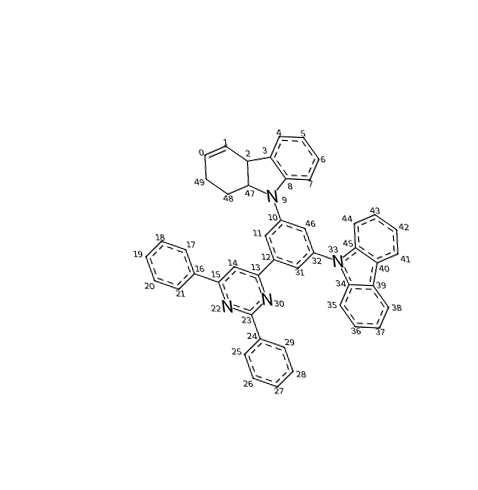 C1=CC2c3ccccc3N(c3cc(-c4cc(-c5ccccc5)nc(-c5ccccc5)n4)cc(-n4c5ccccc5c5ccccc54)c3)C2CC1